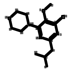 COc1c(Cl)nc(CC(C)C)nc1N1CCOCC1